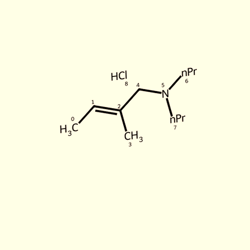 C/C=C(\C)CN(CCC)CCC.Cl